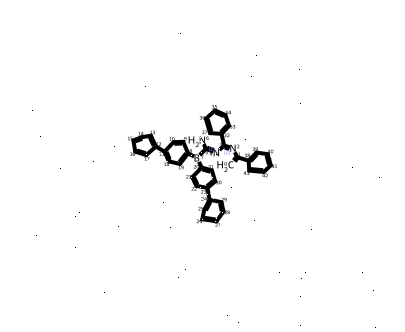 C=C(/N=C(\N=C(/N)B(c1ccc(-c2ccccc2)cc1)c1ccc(-c2ccccc2)cc1)c1ccccc1)c1ccccc1